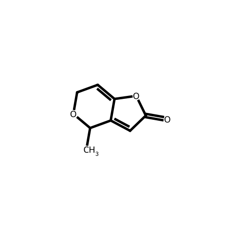 CC1OCC=C2OC(=O)C=C21